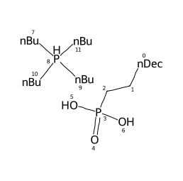 CCCCCCCCCCCCP(=O)(O)O.CCCC[PH](CCCC)(CCCC)CCCC